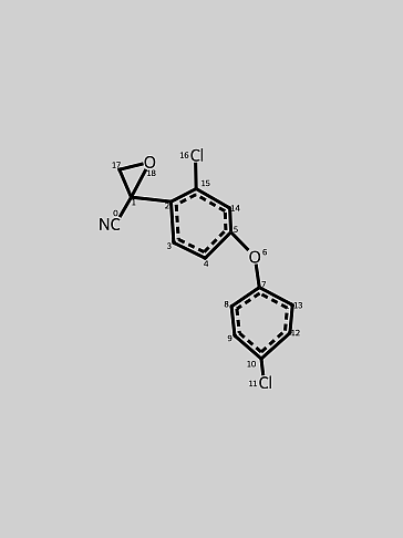 N#CC1(c2ccc(Oc3ccc(Cl)cc3)cc2Cl)CO1